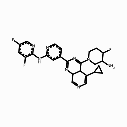 NC1CN(C2=NC(c3ccnc(Nc4ncc(F)cc4F)c3)=NC3C=NC=C(C4CC4)C23)CCC1F